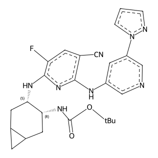 CC(C)(C)OC(=O)N[C@@H]1CC2CC2C[C@@H]1Nc1nc(Nc2cncc(-n3cccn3)c2)c(C#N)cc1F